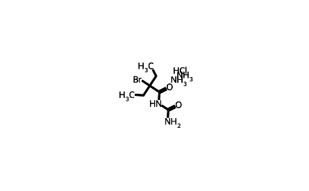 CCC(Br)(CC)C(=O)NC(N)=O.Cl.N.N